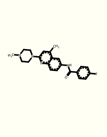 Cc1cc(N2CCN(C)CC2)nc2ccc(NC(=O)c3ccc(F)cc3)cc12